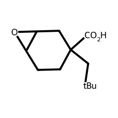 CC(C)(C)CC1(C(=O)O)CCC2OC2C1